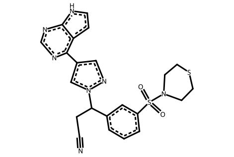 N#CCC(c1cccc(S(=O)(=O)N2CCSCC2)c1)n1cc(-c2ncnc3[nH]ccc23)cn1